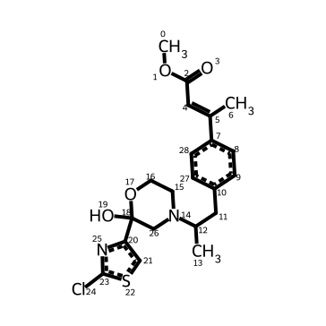 COC(=O)C=C(C)c1ccc(CC(C)N2CCOC(O)(c3csc(Cl)n3)C2)cc1